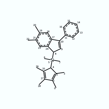 CC1=C(C)C([Si](C)(C)C2C=C(c3ccccc3)c3cc(C)c(C)cc32)C(C)=C1C